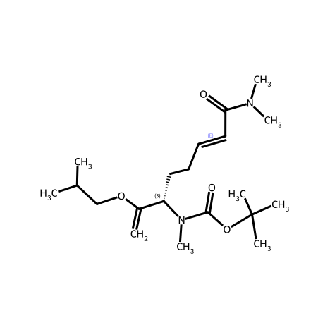 C=C(OCC(C)C)[C@H](CC/C=C/C(=O)N(C)C)N(C)C(=O)OC(C)(C)C